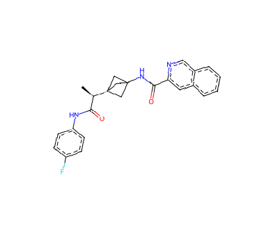 C[C@H](C(=O)Nc1ccc(F)cc1)C12CC(NC(=O)c3cc4ccccc4cn3)(C1)C2